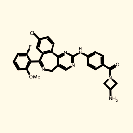 COc1cccc(F)c1C1=NCc2cnc(Nc3ccc(C(=O)N4CC(N)C4)cc3)nc2-c2ccc(Cl)cc21